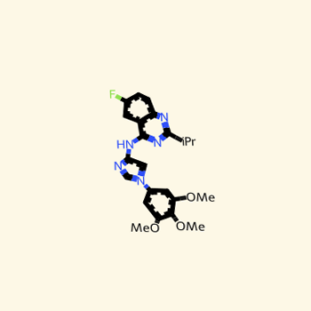 COc1cc(-n2cnc(Nc3nc(C(C)C)nc4ccc(F)cc34)c2)cc(OC)c1OC